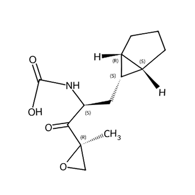 C[C@]1(C(=O)[C@H](C[C@@H]2[C@@H]3CCC[C@@H]32)NC(=O)O)CO1